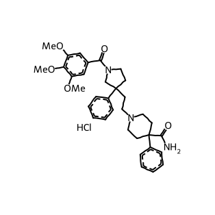 COc1cc(C(=O)N2CCC(CCN3CCC(C(N)=O)(c4ccccc4)CC3)(c3ccccc3)C2)cc(OC)c1OC.Cl